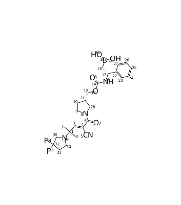 CC(C)(C=C(C#N)C(=O)N1CC[C@H](COC(=O)N[C@H](CB(O)O)c2ccccc2)C1)N1CCC(F)(F)C1